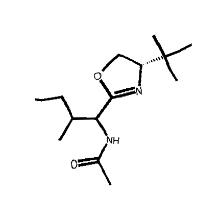 CCC(C)C(NC(C)=O)C1=N[C@@H](C(C)(C)C)CO1